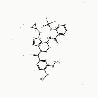 COc1ccc(C(=O)N2CCC(NC(=O)c3ccccc3OC(F)(F)F)c3c2cnn3CC2CC2)cc1OC